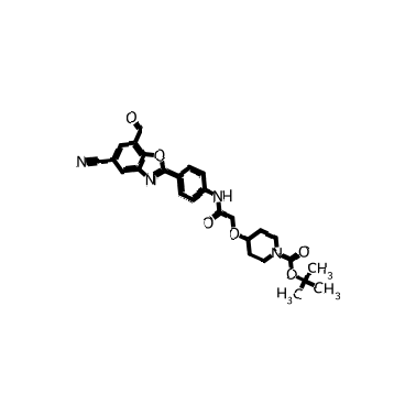 CC(C)(C)OC(=O)N1CCC(OCC(=O)Nc2ccc(-c3nc4cc(C#N)cc(C=O)c4o3)cc2)CC1